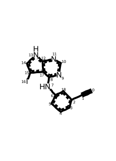 C#Cc1cccc(Nc2ncnc3[nH]cc(I)c23)c1